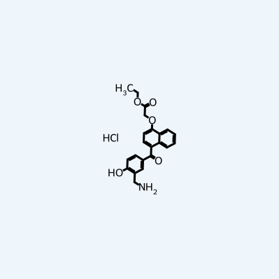 CCOC(=O)COc1ccc(C(=O)c2ccc(O)c(CN)c2)c2ccccc12.Cl